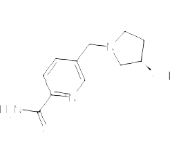 NC(=O)c1ccc(CN2CC[C@@H](O)C2)cn1